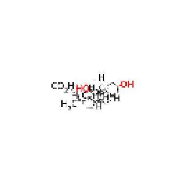 C[C@H](CCC(=O)O)[C@H]1CC[C@H]2[C@@H]3CC[C@@H]4C[C@H](O)CC[C@]4(C)[C@H]3C[C@H](O)[C@]12C.[LiH]